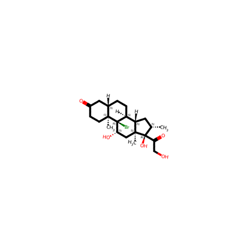 C[C@H]1C[C@H]2[C@@H]3CC[C@H]4CC(=O)CC[C@]4(C)[C@@]3(Br)[C@@H](O)C[C@]2(C)[C@@]1(O)C(=O)CO